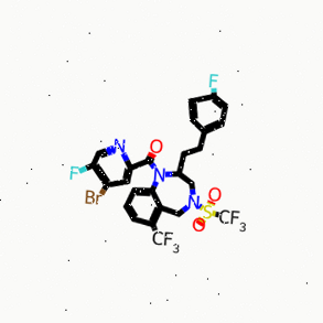 O=C(c1cc(Br)c(F)cn1)N1c2cccc(C(F)(F)F)c2CN(S(=O)(=O)C(F)(F)F)CC1CCc1ccc(F)cc1